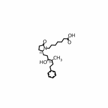 C[C@@H](CCc1ccccc1)[C@H](O)CC[C@H]1CCC(=O)N1CCCCCCC(=O)O